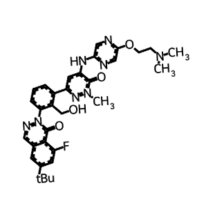 CN(C)CCOc1cnc(Nc2cc(-c3cccc(-n4ncc5cc(C(C)(C)C)cc(F)c5c4=O)c3CO)nn(C)c2=O)cn1